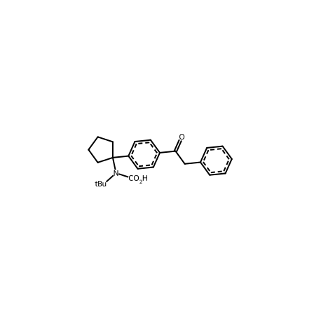 CC(C)(C)N(C(=O)O)C1(c2ccc(C(=O)Cc3ccccc3)cc2)CCCC1